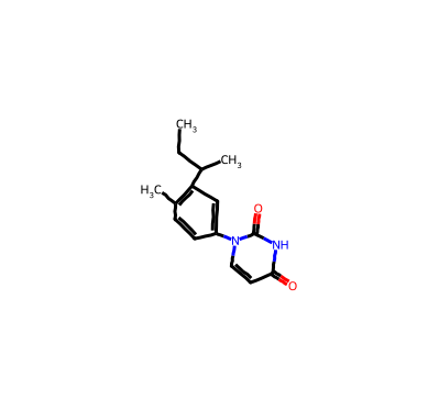 CCC(C)c1cc(-n2ccc(=O)[nH]c2=O)ccc1C